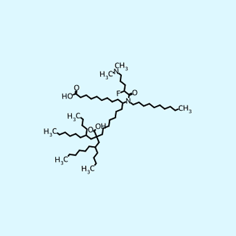 CCCCCCCCCCN(C(=O)C(F)CCCN(C)C)C(CCCCCCCCC(=O)O)CCCCCCCC(CC(CCCC)CCCCCC)(CC(CCCC)CCCCCC)C(=O)O